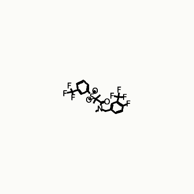 CN(Cc1ccc(F)c(C(F)(F)F)c1)C(=O)C(C)(C)S(=O)(=O)c1cccc(C(F)(F)F)c1